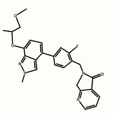 COCC(C)Oc1ccc(-c2ccc(CN3Cc4ncccc4C3=O)c(F)c2)c2cn(C)nc12